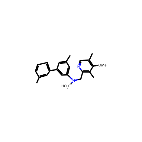 COc1c(C)cnc(CN(C(=O)O)c2cc(C)cc(-c3cccc(C)c3)c2)c1C